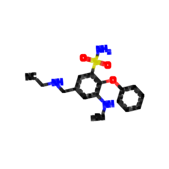 CCCCNc1cc(CNCC#N)cc(S(N)(=O)=O)c1Oc1ccccc1